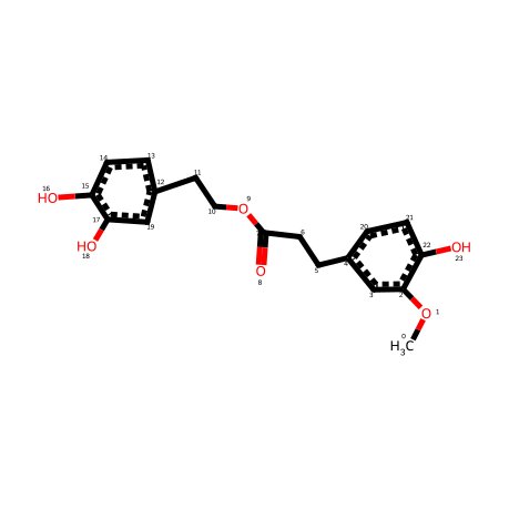 COc1cc(CCC(=O)OCCc2ccc(O)c(O)c2)ccc1O